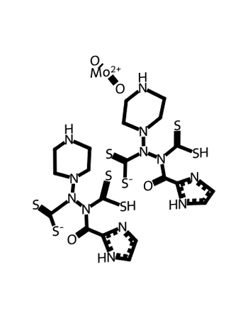 O=C(c1ncc[nH]1)N(C(=S)S)N(C(=S)[S-])N1CCNCC1.O=C(c1ncc[nH]1)N(C(=S)S)N(C(=S)[S-])N1CCNCC1.[O]=[Mo+2]=[O]